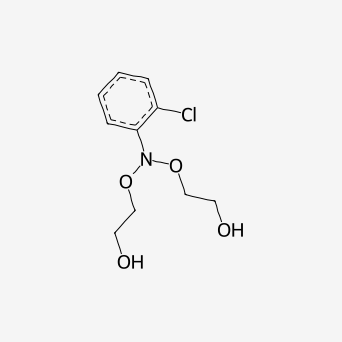 OCCON(OCCO)c1ccccc1Cl